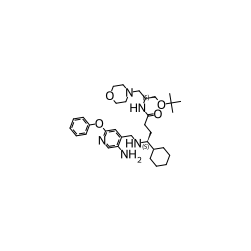 CC(C)(C)OC[C@H](CN1CCOCC1)NC(=O)CC[C@H](NCc1cc(Oc2ccccc2)ncc1N)C1CCCCC1